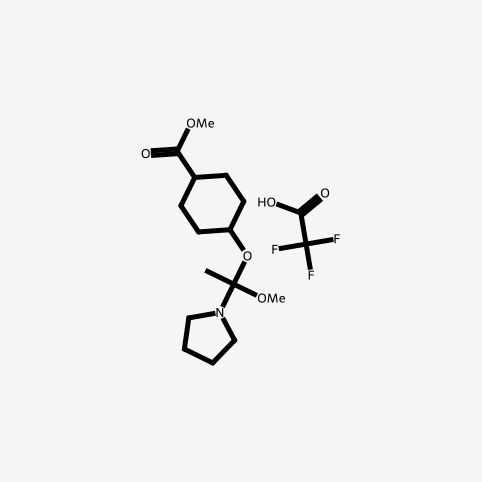 COC(=O)C1CCC(OC(C)(OC)N2CCCC2)CC1.O=C(O)C(F)(F)F